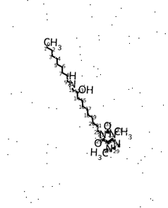 CCCCCCCCCCNCC(O)CCCCCCCCCn1c(=O)c2c(ncn2C)n(C)c1=O